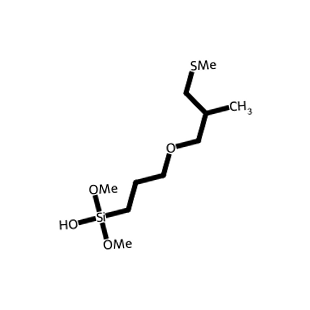 CO[Si](O)(CCCOCC(C)CSC)OC